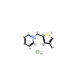 Cc1csc(C[n+]2ccccc2)c1.[Cl-]